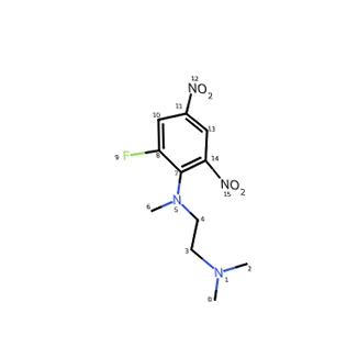 CN(C)CCN(C)c1c(F)cc([N+](=O)[O-])cc1[N+](=O)[O-]